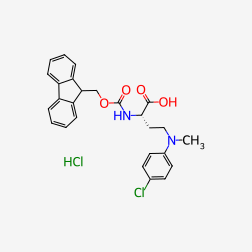 CN(CC[C@H](NC(=O)OCC1c2ccccc2-c2ccccc21)C(=O)O)c1ccc(Cl)cc1.Cl